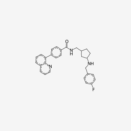 O=C(NCC1CCC(NCc2ccc(F)cc2)C1)c1ccc(-c2cccc3cccnc23)cc1